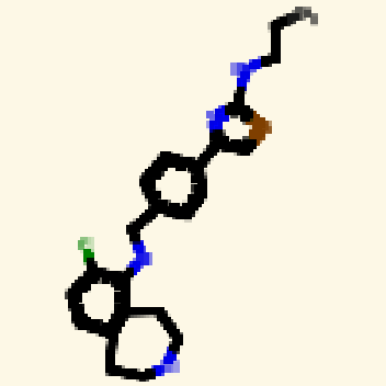 FC(F)(F)CCNc1nc(-c2ccc(CNc3c(Cl)ccc4c3CCNCC4)cc2)cs1